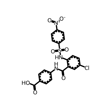 O=C(O)c1ccc(NC(=O)c2cc(Cl)ccc2NS(=O)(=O)c2ccc([N+](=O)[O-])cc2)cc1